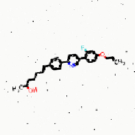 C=CCOc1ccc(-c2ccc(-c3ccc(/C=C/CCCC(C)O)cc3)nc2)c(F)c1